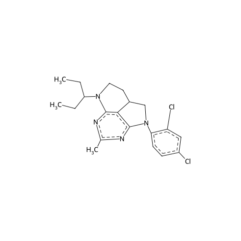 CCC(CC)N1CCC2CN(c3ccc(Cl)cc3Cl)c3nc(C)nc1c32